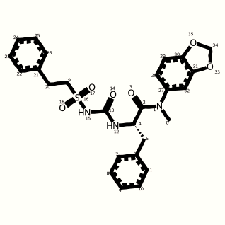 CN(C(=O)[C@H](Cc1ccccc1)NC(=O)NS(=O)(=O)CCc1ccccc1)c1ccc2c(c1)OCO2